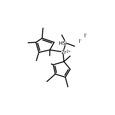 CC1=C[C](C)([Zr+2]([SiH](C)C)[C]2(C)C=C(C)C(C)=C2C)C(C)=C1C.[I-].[I-]